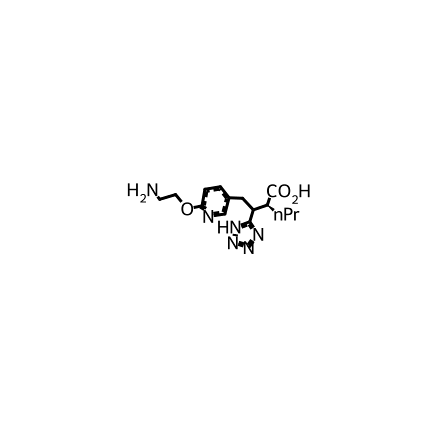 CCC[C@H](C(=O)O)C(Cc1ccc(OCCN)nc1)c1nnn[nH]1